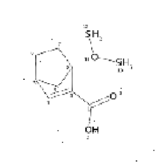 O=C(O)C1=CC2CCC1C2.[SiH3]O[SiH3]